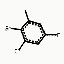 Cc1cc(F)cc(Cl)c1Br